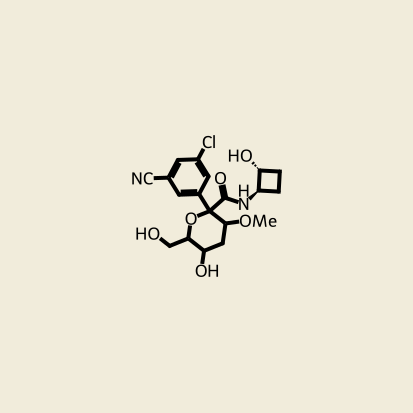 COC1CC(O)C(CO)OC1(C(=O)N[C@@H]1CC[C@H]1O)c1cc(Cl)cc(C#N)c1